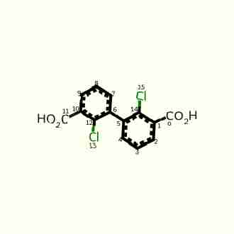 O=C(O)c1cccc(-c2cccc(C(=O)O)c2Cl)c1Cl